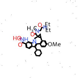 CCN(CC)C(=O)CN(C)C(=O)C12CC1c1cc(OC)ccc1-c1c(C3CCCCC3)c3ccc(C(=O)NO)cc3n1C2